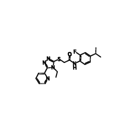 CCn1c(SCC(=O)Nc2ccc(C(C)C)cc2F)nnc1-c1ccccn1